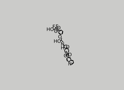 O=S(=O)(c1ccc2ncccc2c1)N1CCC2(CC1)CC(NCC(O)COc1cccc(S(=O)(=O)C(F)(F)CO)c1)CO2